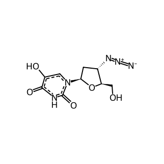 [N-]=[N+]=N[C@H]1C[C@H](n2cc(O)c(=O)[nH]c2=O)O[C@@H]1CO